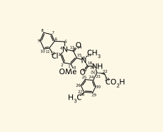 COc1ccn(Cc2ccccc2Cl)c(=O)c1N(C)C(=O)N[C@@H](CC(=O)O)c1ccc(C)cc1